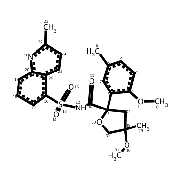 COc1ccc(C)cc1C1(C(=O)NS(=O)(=O)c2cccc3nc(C)ccc23)CC(C)(OC)CO1